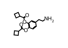 NCCc1ccc(OC(=O)C2CCC2)c(OC(=O)C2CCC2)c1